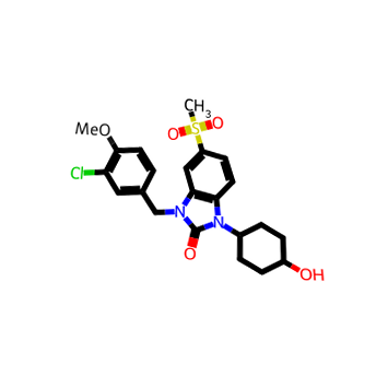 COc1ccc(Cn2c(=O)n(C3CCC(O)CC3)c3ccc(S(C)(=O)=O)cc32)cc1Cl